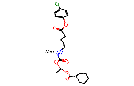 CC(OC(=O)NCCCC(=O)Oc1ccc(Cl)cc1)OC(=O)C1CCCCC1.[NaH]